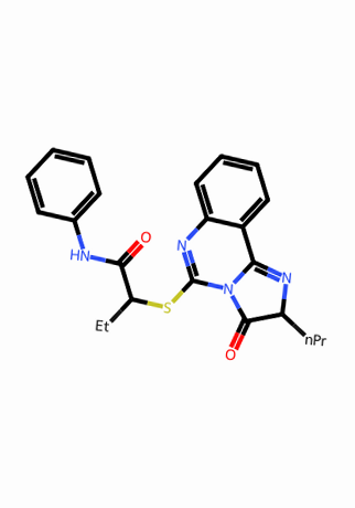 CCCC1N=C2c3ccccc3N=C(SC(CC)C(=O)Nc3ccccc3)N2C1=O